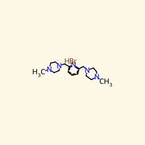 Br.CN1CCN(Cc2cccc(CN3CCN(C)CC3)n2)CC1